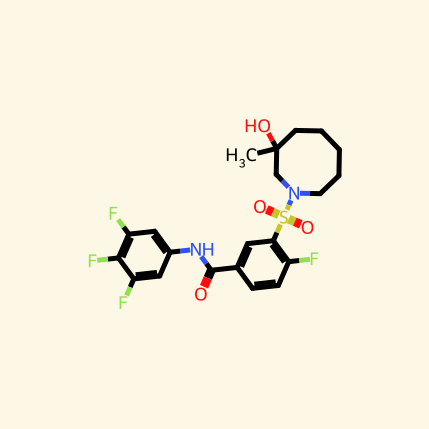 CC1(O)CCCCCN(S(=O)(=O)c2cc(C(=O)Nc3cc(F)c(F)c(F)c3)ccc2F)C1